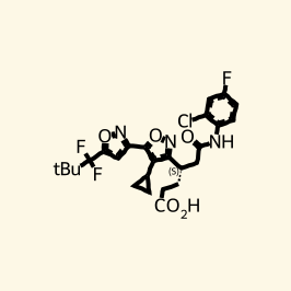 CC(C)(C)C(F)(F)c1cc(-c2onc([C@@H](CCC(=O)O)CC(=O)Nc3ccc(F)cc3Cl)c2C2CC2)no1